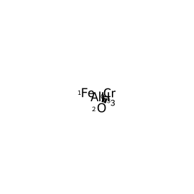 [AlH3].[Fe].[O]=[Cr]